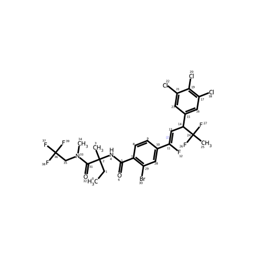 CCC(C)(NC(=O)c1ccc(/C(F)=C/C(c2cc(Cl)c(Cl)c(Cl)c2)C(C)(F)F)cc1Br)C(=O)N(C)CC(F)(F)F